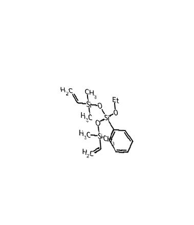 C=C[Si](C)(C)O[Si](OCC)(O[Si](C)(C)C=C)c1ccccc1